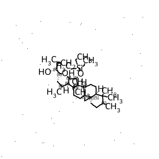 C=C(C)[C@@H](O)[C@H]1C[C@@H](C)[C@H]2[C@H](O1)[C@H](O[Si](CC)(CC)CC)[C@@]1(C)[C@@H]3CC[C@H]4C(C)(C)[C@@H](C)CC[C@@]45C[C@@]35CC[C@]21C